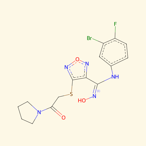 O=C(CSc1nonc1/C(=N\O)Nc1ccc(F)c(Br)c1)N1CCCC1